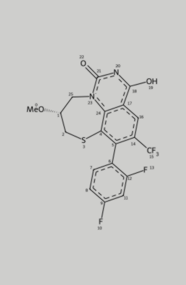 CO[C@H]1CSc2c(-c3ccc(F)cc3F)c(C(F)(F)F)cc3c(O)nc(=O)n(c23)C1